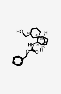 O=C(N[C@@H]1[C@@H]2CC[C@@H](C2)[C@]12CCC[C@H](CO)C2)OCc1ccccc1